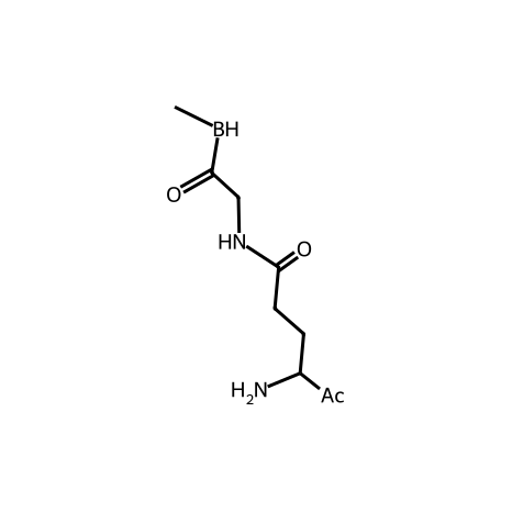 CBC(=O)CNC(=O)CCC(N)C(C)=O